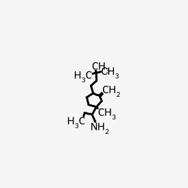 C=C1CC(C)(C(CC)CN)CCC1CCC(C)(C)C